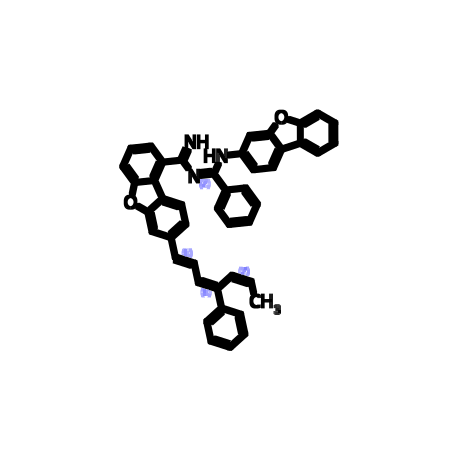 C\C=C/C(=C\C=C\c1ccc2c(c1)oc1cccc(C(=N)/N=C(\Nc3ccc4c(c3)oc3ccccc34)c3ccccc3)c12)c1ccccc1